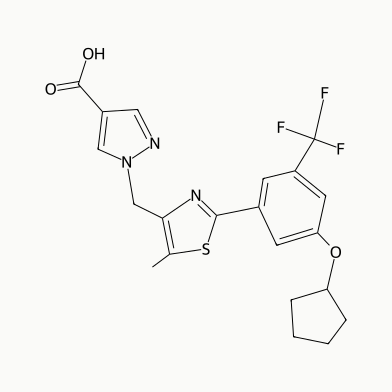 Cc1sc(-c2cc(OC3CCCC3)cc(C(F)(F)F)c2)nc1Cn1cc(C(=O)O)cn1